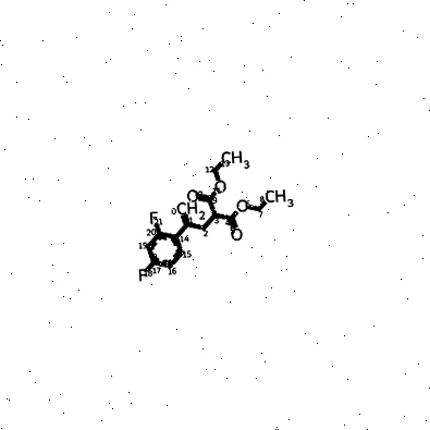 C=C(CC(C(=O)OCC)C(=O)OCC)c1ccc(F)cc1F